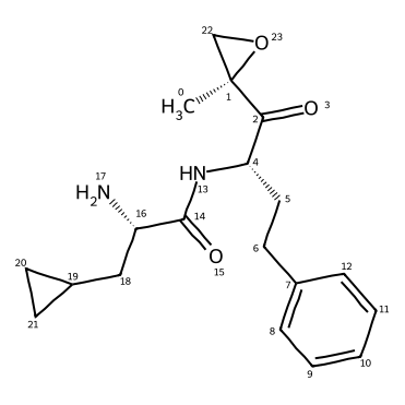 C[C@]1(C(=O)[C@H](CCc2ccccc2)NC(=O)[C@@H](N)CC2CC2)CO1